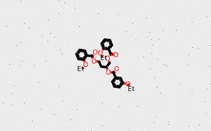 CCOc1cccc(C(=O)OC(CCOC(=O)c2ccccc2OCC)COC(=O)c2ccccc2OCC)c1